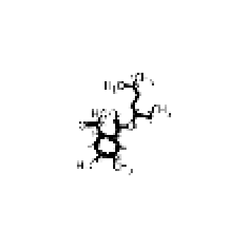 CCC(CCC(C)C)OC(=O)c1cc(C)c(C)cc1C(=O)O